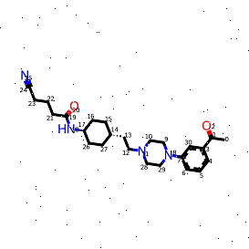 CC(=O)c1cccc(N2CCN(CC[C@H]3CC[C@H](NC(=O)CCCC#N)CC3)CC2)c1